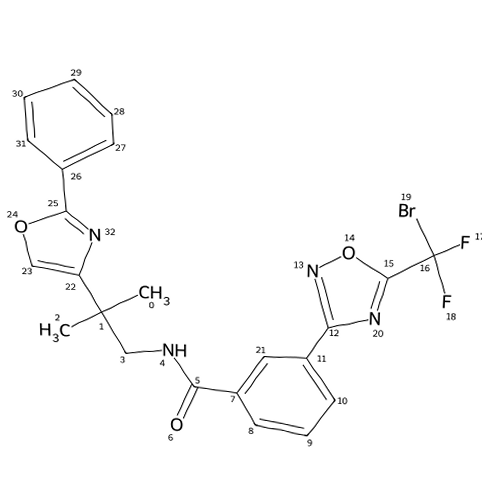 CC(C)(CNC(=O)c1cccc(-c2noc(C(F)(F)Br)n2)c1)c1coc(-c2ccccc2)n1